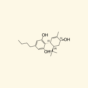 CCCCc1cc(O)c([C@@H]2C=C(C)[C@@H](O)C[C@H]2C(C)(C)C)c(O)c1